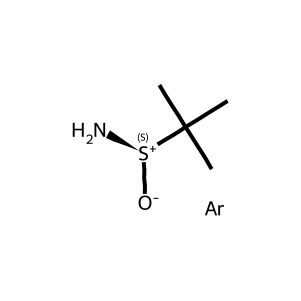 CC(C)(C)[S@+](N)[O-].[Ar]